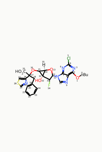 CCCCOc1nc(Cl)nc2c1ncn2[C@@H]1O[C@@H]2C(OC(Cc3ccccc3)(C(=O)O)c3cscn3)[C@]2(O)[C@@H]1F